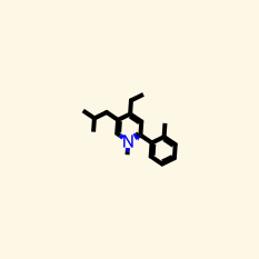 CCc1cc(-c2ccccc2C)[n+](C)cc1CC(C)C